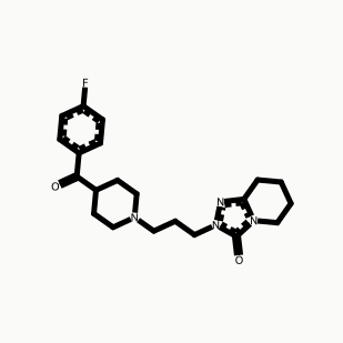 O=C(c1ccc(F)cc1)C1CCN(CCCn2nc3n(c2=O)CCCC3)CC1